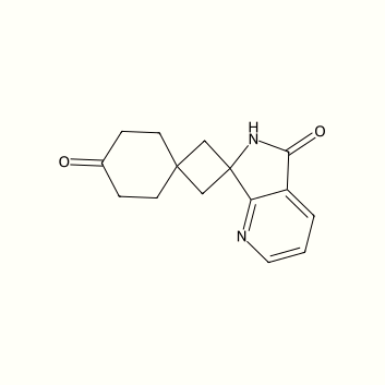 O=C1CCC2(CC1)CC1(C2)NC(=O)c2cccnc21